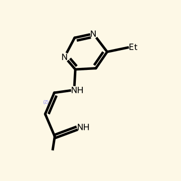 CCc1cc(N/C=C\C(C)=N)ncn1